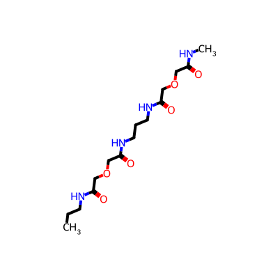 CCCNC(=O)COCC(=O)NCCCNC(=O)COCC(=O)NC